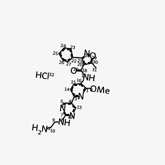 COc1nc(-c2cnc(NCCN)nc2)ccc1NC(=O)c1c(-c2ccccc2)noc1C.Cl